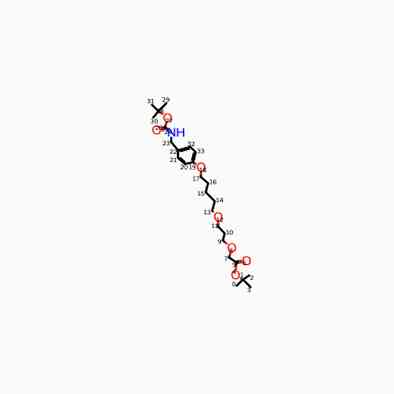 CC(C)(C)OC(=O)COCCCOCCCCCOc1ccc(CNC(=O)OC(C)(C)C)cc1